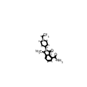 CC1c2cccc(C(N)=O)c2C(=O)N1C1CCN(CC(F)(F)F)CC1